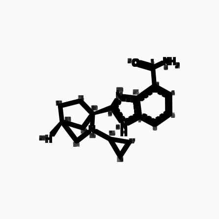 NC(=O)c1cccc2[nH]c([C@@]34CC[C@@H](CN3C3CC3)C4)nc12